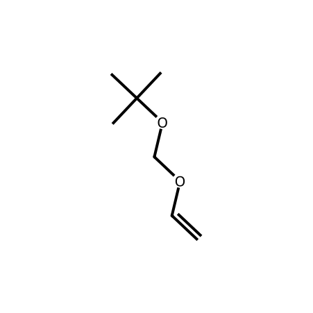 C=COCOC(C)(C)C